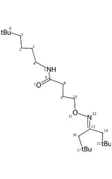 CC(C)(C)CCCCNC(=O)CCCON=C(CC(C)(C)C)CC(C)(C)C